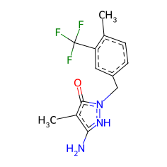 Cc1ccc(Cn2[nH]c(N)c(C)c2=O)cc1C(F)(F)F